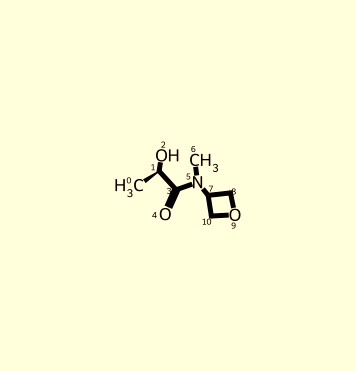 C[C@@H](O)C(=O)N(C)C1COC1